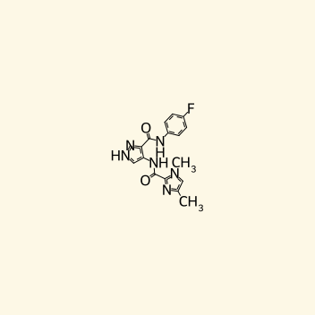 Cc1cn(C)c(C(=O)Nc2c[nH]nc2C(=O)Nc2ccc(F)cc2)n1